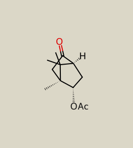 CC(=O)O[C@H]1C[C@@H]2C(=O)C[C@@]1(C)C2(C)C